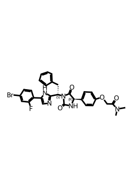 CN(C)C(=O)COc1ccc([C@H]2NC(=O)N([C@@H](Cc3ccccc3)c3ncc(-c4ccc(Br)cc4F)[nH]3)C2=O)cc1